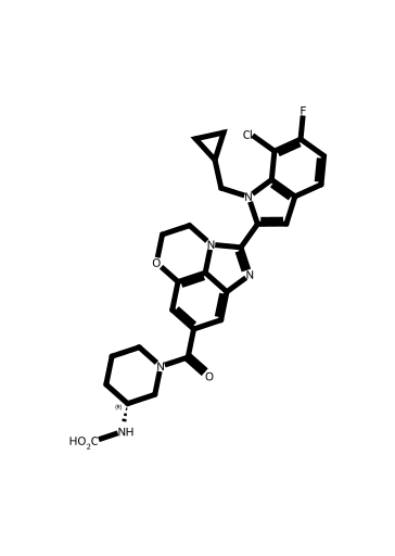 O=C(O)N[C@@H]1CCCN(C(=O)c2cc3c4c(c2)nc(-c2cc5ccc(F)c(Cl)c5n2CC2CC2)n4CCO3)C1